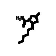 CCCCCN=C1SC(C)CN1C(N)=S